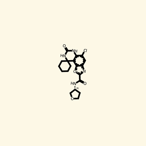 O=C1Nc2c(Cl)cc3nc(C(=O)N[C@@H]4CCOC4)oc3c2C2(CCCCC2)N1